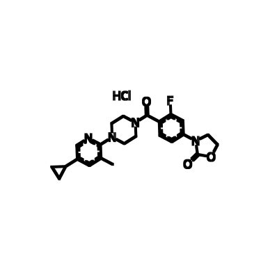 Cc1cc(C2CC2)cnc1N1CCN(C(=O)c2ccc(N3CCOC3=O)cc2F)CC1.Cl